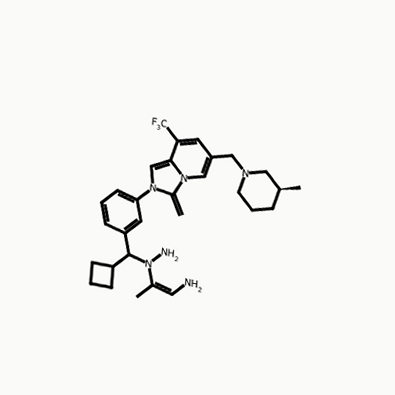 C=C1N2C=C(CN3CCC[C@H](C)C3)C=C(C(F)(F)F)C2=CN1c1cccc(C(C2CCC2)N(N)/C(C)=C\N)c1